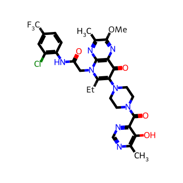 CCc1c(N2CCN(C(=O)c3ncnc(C)c3O)CC2)c(=O)c2nc(OC)c(C)nc2n1CC(=O)Nc1ccc(C(F)(F)F)cc1Cl